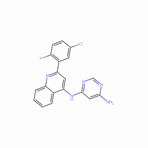 Nc1cc(Nc2cc(-c3cc(Cl)ccc3F)nc3ccccc23)ncn1